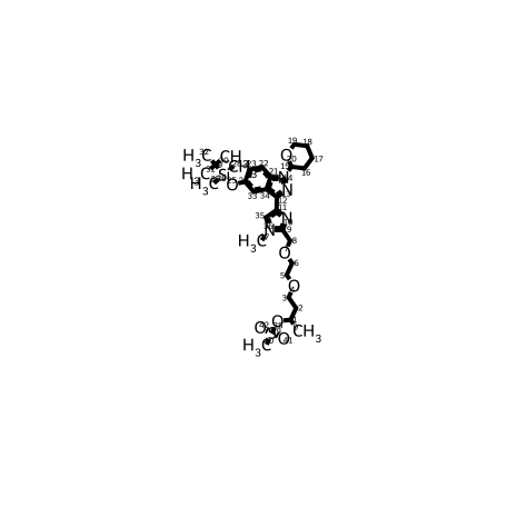 CC(CCOCCOCc1nc(-c2nn(C3CCCCO3)c3ccc(O[Si](C)(C)C(C)(C)C)cc23)cn1C)OS(C)(=O)=O